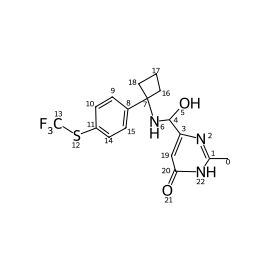 Cc1nc(C(O)NC2(c3ccc(SC(F)(F)F)cc3)CCC2)cc(=O)[nH]1